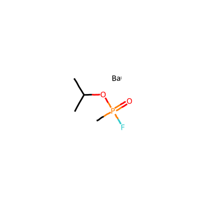 CC(C)OP(C)(=O)F.[Ba]